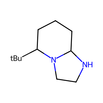 CC(C)(C)C1CCCC2NCCN21